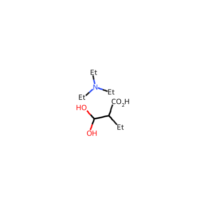 CCC(C(=O)O)C(O)O.CCN(CC)CC